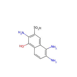 Nc1ccc2c(O)c(N)c(S(=O)(=O)O)cc2c1N